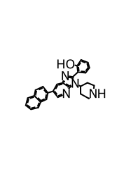 Oc1ccccc1-c1nc2cc(-c3ccc4ccccc4c3)cnc2n1C1CCNCC1